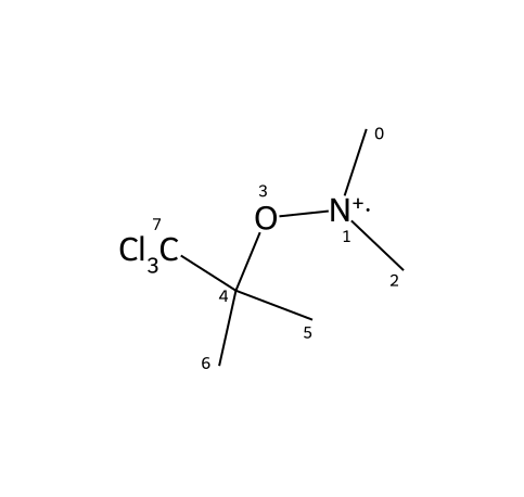 C[N+](C)OC(C)(C)C(Cl)(Cl)Cl